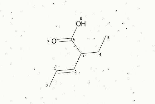 CC=CC(CC)C(=O)O